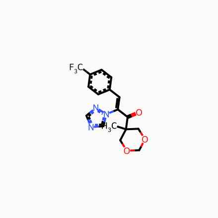 CC1(C(=O)C(=Cc2ccc(C(F)(F)F)cc2)n2cncn2)COCOC1